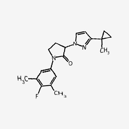 Cc1cc(N2CCC(n3ccc(C4(C)CC4)n3)C2=O)cc(C)c1F